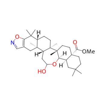 COC(=O)[C@]12CCC(C)(C)C[C@H]1[C@H]1OC(O)C[C@@H]3[C@@]4(C)Cc5cnoc5C(C)(C)[C@@H]4CC[C@@]3(C)[C@]1(C)CC2